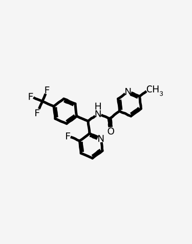 Cc1ccc(C(=O)NC(c2ccc(C(F)(F)F)cc2)c2ncccc2F)cn1